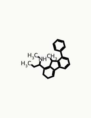 CCC(NC)C1=C2C(=CCC1)c1cccc(-c3ccccc3)c1C2C